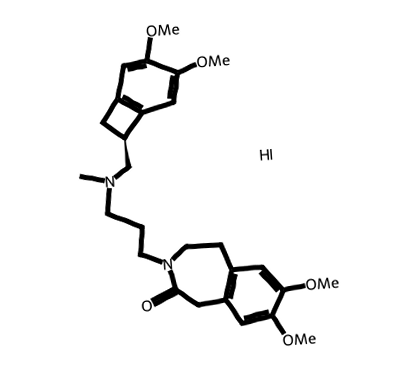 COc1cc2c(cc1OC)CC(=O)N(CCCN(C)C[C@H]1Cc3cc(OC)c(OC)cc31)CC2.I